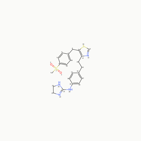 CS(=O)(=O)c1ccc(Cc2scnc2CCc2ccc(NC3=NCCN3)cc2)cc1